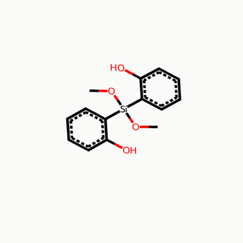 CO[Si](OC)(c1ccccc1O)c1ccccc1O